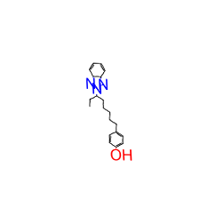 CCC(CCCCCc1ccc(O)cc1)n1nc2ccccc2n1